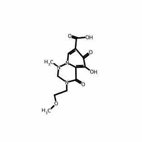 COCCN1CN(C)n2cc(C(=O)O)c(=O)c(O)c2C1=O